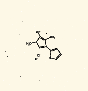 CC1=[C]([Zr+2])C(C)C=C1c1cccs1.[Cl-].[Cl-]